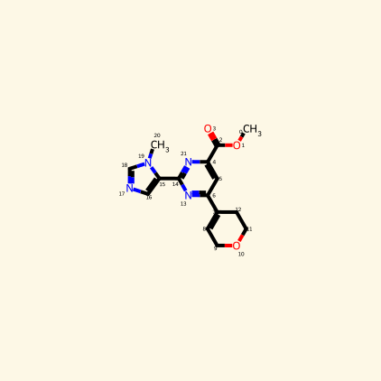 COC(=O)c1cc(C2=CCOCC2)nc(-c2cncn2C)n1